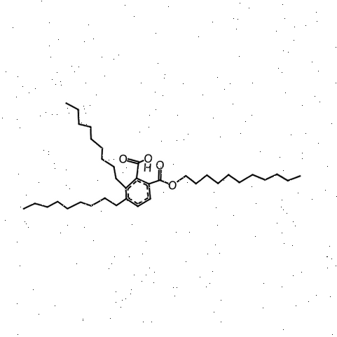 CCCCCCCCCCCOC(=O)c1ccc(CCCCCCCCC)c(CCCCCCCCC)c1C(=O)O